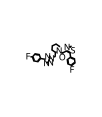 O=C(c1ncsc1-c1ccc(F)cc1)N1CCCCC1Cn1nnc(-c2ccc(F)cc2)n1